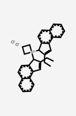 CCC1=Cc2c(ccc3ccccc23)[CH]1[Ti+2]1([CH]2C(CC)=Cc3c2ccc2ccccc32)[CH2]C[CH2]1.[Cl-].[Cl-]